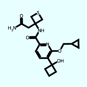 NC(=O)CC1(NC(=O)c2ccc(C3(O)CCC3)c(OCC3CC3)n2)CSC1